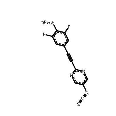 CCCCCc1c(F)cc(C#Cc2ncc(N=C=S)cn2)cc1F